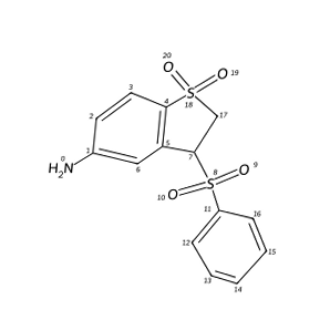 Nc1ccc2c(c1)C(S(=O)(=O)c1ccccc1)CS2(=O)=O